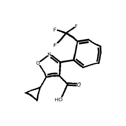 O=C(O)c1c(-c2ccccc2C(F)(F)F)noc1C1CC1